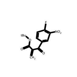 C=C(C(=O)OC(C)(C)C)C(=O)c1ccc(F)c([N+](=O)[O-])c1